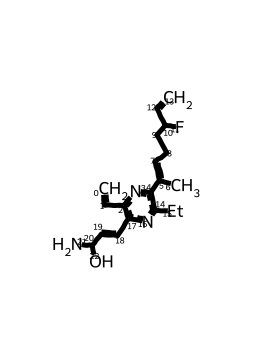 C=Cc1nc(/C(C)=C/CCC(F)C=C)c(CC)nc1/C=C/C(N)O